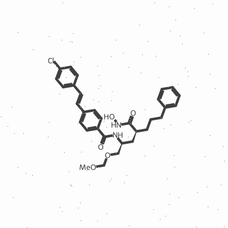 COCOC[C@H](C[C@H](CCCc1ccccc1)C(=O)NO)NC(=O)c1ccc(C=Cc2ccc(Cl)cc2)cc1